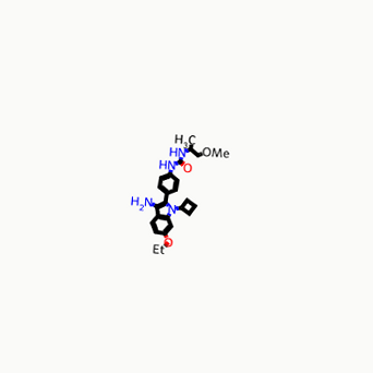 CCOc1ccc2c(N)c(-c3ccc(NC(=O)NC(C)COC)cc3)n(C3CCC3)c2c1